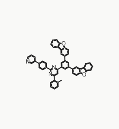 Cc1ccccc1-c1cc(-c2cc(-c3ccc4oc5ccccc5c4c3)cc(-c3ccc4oc5ccccc5c4c3)c2)nc(-c2ccc(-c3cccnc3)cc2)n1